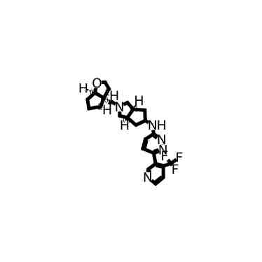 [2H]C([2H])(N1C[C@H]2CC(Nc3ccc(-c4cnccc4C(F)(F)F)nn3)C[C@H]2C1)[C@]12CCC[C@H]1OCC2